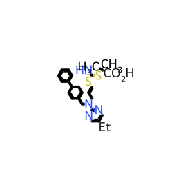 CCc1cnc(N(C/C=C/SC(=N)SC(C)(C)C(=O)O)CC2=CCC(c3ccccc3)C=C2)nc1